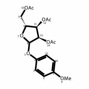 COc1ccc(OC2O[C@H](COC(C)=O)[C@@H](OC(C)=O)[C@H]2OC(C)=O)cc1